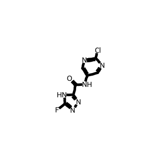 O=C(Nc1cnc(Cl)nc1)c1nnc(F)[nH]1